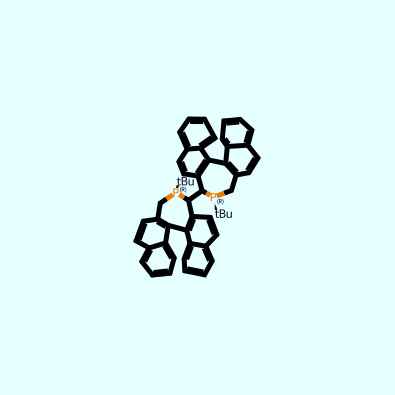 CC(C)(C)[P@@]1Cc2ccc3ccccc3c2-c2c(ccc3ccccc23)C1C1c2ccc3ccccc3c2-c2c(ccc3ccccc23)C[P@]1C(C)(C)C